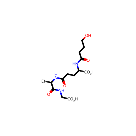 CCC(NC(=O)CCC(NC(=O)CCCO)C(=O)O)C(=O)NCC(=O)O